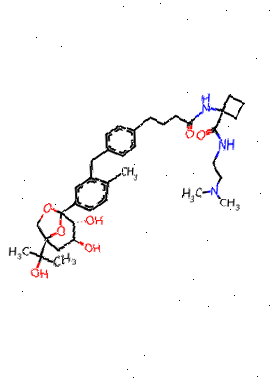 Cc1ccc([C@@]23OC[C@@](C(C)(C)O)(C[C@H](O)[C@H]2O)O3)cc1Cc1ccc(CCCC(=O)NC2(C(=O)NCCN(C)C)CCC2)cc1